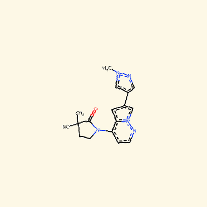 Cn1cc(-c2cc3c(N4CCC(C)(C#N)C4=O)ccnn3c2)cn1